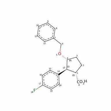 O=C(O)[C@H]1CC[C@@H](OCc2ccccc2)[C@@H]1c1ccc(F)cc1